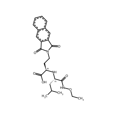 CCONC(=O)[C@H](CC(C)C)N[C@H](CCN1C(=O)c2cc3ccccc3cc2C1=O)C(=O)O